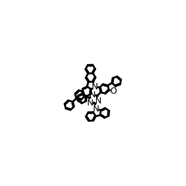 c1ccc(-c2cccc(-c3nc(-c4cc5oc6ccccc6c5cc4-n4c5cc6ccccc6cc5c5cc6ccccc6cc54)nc(-n4c5ccccc5c5ccccc54)n3)c2)cc1